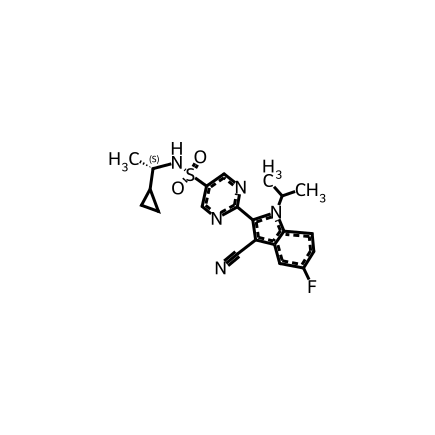 CC(C)n1c(-c2ncc(S(=O)(=O)N[C@@H](C)C3CC3)cn2)c(C#N)c2cc(F)ccc21